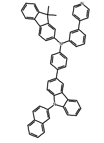 CC1(C)c2ccccc2-c2ccc(N(c3ccc(-c4ccc5c(c4)c4ccccc4n5-c4ccc5ccccc5c4)cc3)c3cccc(-c4ccncc4)c3)cc21